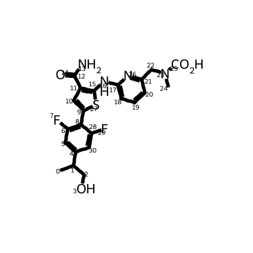 CC(CO)c1cc(F)c(-c2cc(C(N)=O)c(Nc3cccc(CN(C)C(=O)O)n3)s2)c(F)c1